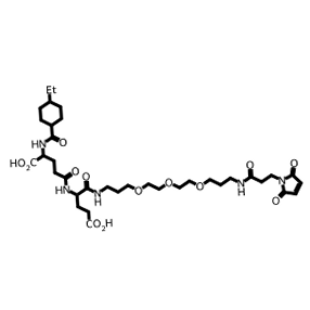 CCC1CCC(C(=O)NC(CCC(=O)NC(CCC(=O)O)C(=O)NCCCOCCOCCOCCCNC(=O)CCN2C(=O)C=CC2=O)C(=O)O)CC1